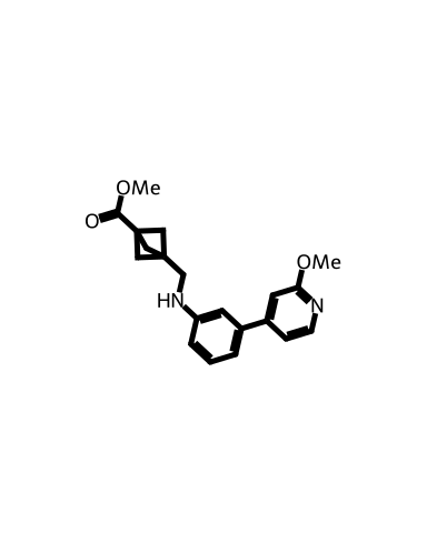 COC(=O)C12CC(CNc3cccc(-c4ccnc(OC)c4)c3)(C1)C2